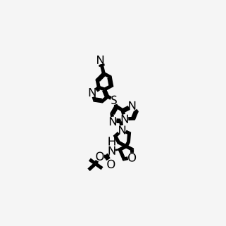 CC(C)(C)OC(=O)N[C@@H]1COCC12CCN(c1ncc(Sc3ccnc4cc(C#N)ccc34)c3nccn13)CC2